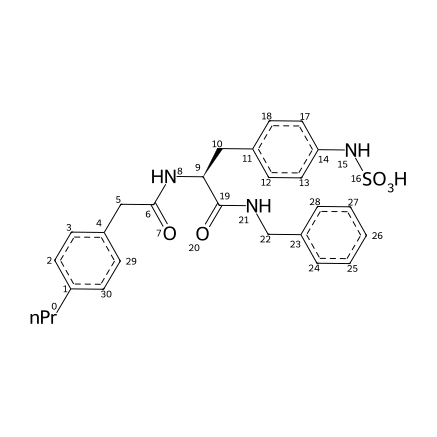 CCCc1ccc(CC(=O)N[C@@H](Cc2ccc(NS(=O)(=O)O)cc2)C(=O)NCc2ccccc2)cc1